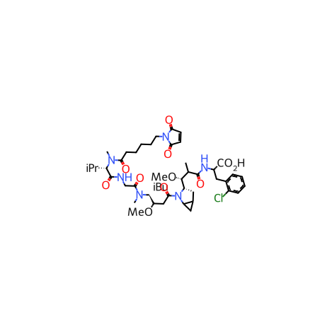 CC[C@H](C)[C@@H](C(CC(=O)N1C2CC2C[C@H]1[C@H](OC)C(C)C(=O)NC(Cc1ccccc1Cl)C(=O)O)OC)N(C)C(=O)CNC(=O)[C@H](C(C)C)N(C)C(=O)CCCCCN1C(=O)C=CC1=O